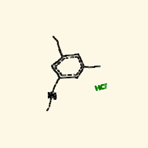 Cl.[CH3][Mg][c]1cc(C)cc(C)c1